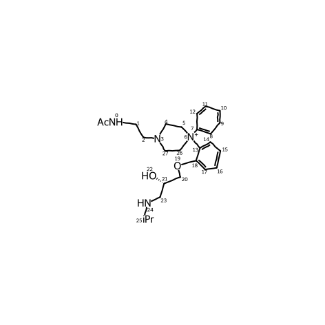 CC(=O)NCCN1CC[N+](c2ccccc2)(c2ccccc2OC[C@@H](O)CNC(C)C)CC1